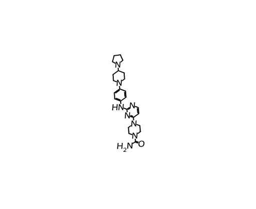 NC(=O)N1CCN(c2ccnc(Nc3ccc(N4CCC(N5CCCC5)CC4)cc3)n2)CC1